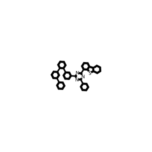 c1ccc(-c2cccc(-c3ccccc3-c3cccc(-c4nc(-c5ccccc5)nc(-c5cccc6c5sc5ccccc56)n4)c3)c2)cc1